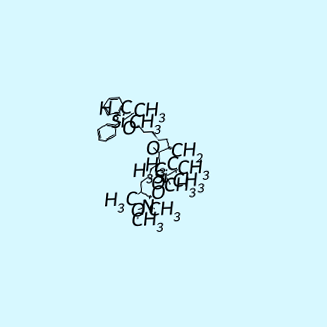 C=C1C[C@H](CCCO[Si](c2ccccc2)(c2ccccc2)C(C)(C)C)OC1CC[C@H](CC(C)C(=O)N(C)OC)O[Si](C)(C)C(C)(C)C